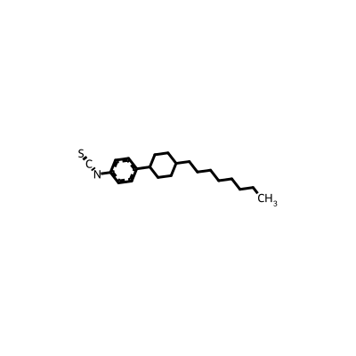 CCCCCCCCC1CCC(c2ccc(N=C=S)cc2)CC1